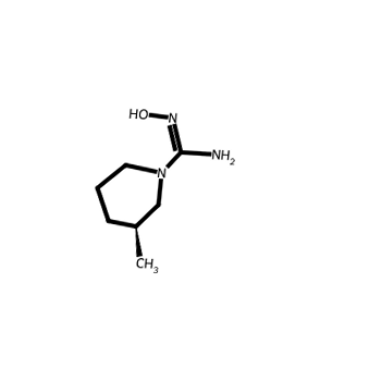 C[C@H]1CCCN(/C(N)=N\O)C1